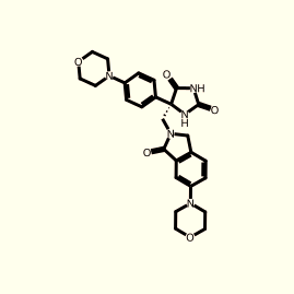 O=C1NC(=O)[C@](CN2Cc3ccc(N4CCOCC4)cc3C2=O)(c2ccc(N3CCOCC3)cc2)N1